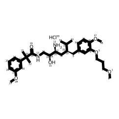 COCCCOc1cc(C[C@@H](C[C@H](N)[C@@H](O)CNC(=O)C(C)(C)c2cccc(OC)c2)C(C)C)ccc1OC.Cl